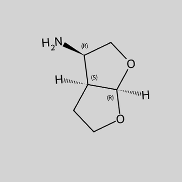 N[C@H]1CO[C@H]2OCC[C@H]21